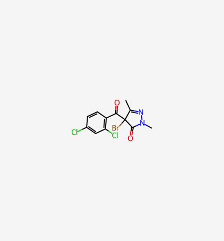 CC1=NN(C)C(=O)C1(Br)C(=O)c1ccc(Cl)cc1Cl